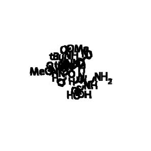 COC(=O)N[C@H](C(=O)N[C@@H](Cc1ccccc1)[C@@H](O)CN(Cc1ccc(-c2ccccn2)cc1)NC(=O)[C@@H](NC(=O)OC)C(C)(C)C)C(C)(C)C.Cc1cn[nH]c1.NCCCNCCSP(=O)(O)O